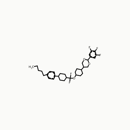 CCCCCc1ccc(C2CCC(C(F)(F)OC3CCC(C4COC(c5cc(F)c(F)c(F)c5)OC4)CC3)CC2)cc1